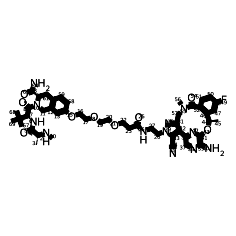 CN[C@H](C)C(=O)N[C@@H](C(=O)N1Cc2cc(OCCOCCOCCC(=O)NCCn3nc4c(c3C#N)-c3cnc(N)c(n3)O[C@H](C)c3cc(F)ccc3C(=O)N(C)C4)ccc2C[C@@H]1C(N)=O)C(C)(C)C